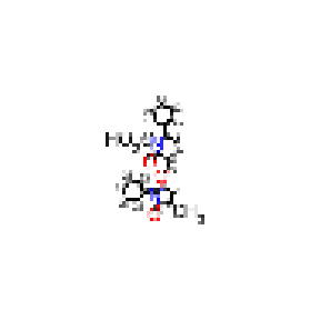 CC1=CC(OC=C2CCC(c3ccccc3)N(C(=O)O)C2=O)N(c2ccccc2)C1=O